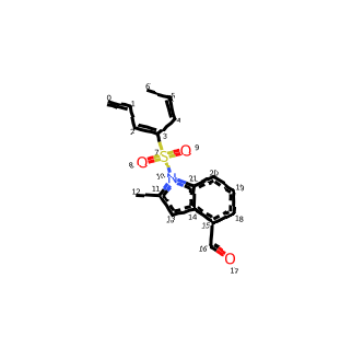 C=C/C=C(\C=C/C)S(=O)(=O)n1c(C)cc2c(C=O)cccc21